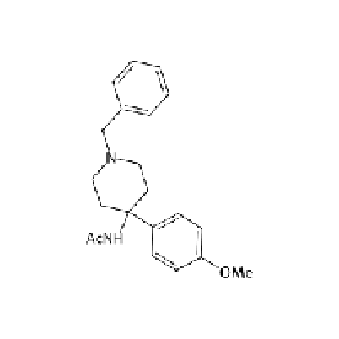 COc1ccc(C2(NC(C)=O)CCN(Cc3ccccc3)CC2)cc1